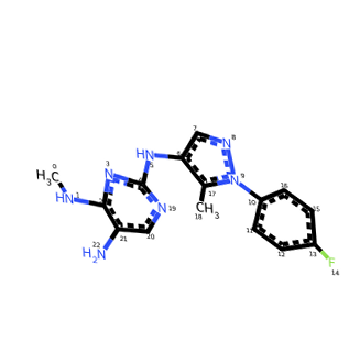 CNc1nc(Nc2cnn(-c3ccc(F)cc3)c2C)ncc1N